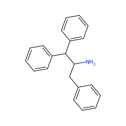 NC(Cc1ccccc1)C(c1ccccc1)c1ccccc1